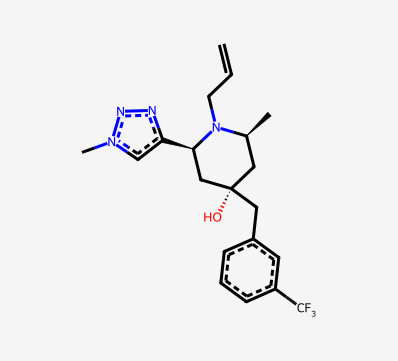 C=CCN1[C@@H](C)C[C@@](O)(Cc2cccc(C(F)(F)F)c2)C[C@H]1c1cn(C)nn1